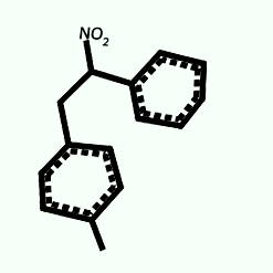 Cc1ccc(CC(c2ccccc2)[N+](=O)[O-])cc1